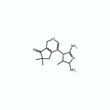 CC1C(N)N=C(N)N1C1=COCC2=C1CC(C)(C)C2=O